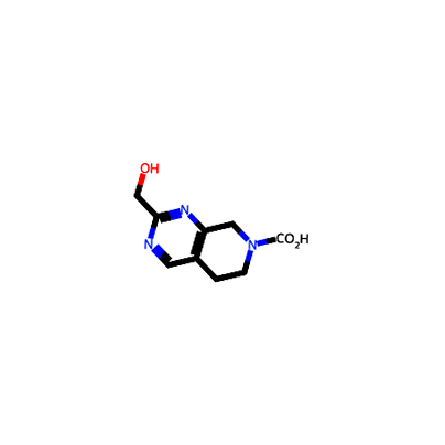 O=C(O)N1CCc2cnc(CO)nc2C1